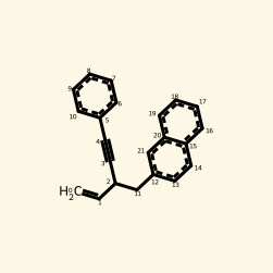 C=CC(C#Cc1ccccc1)Cc1ccc2ccccc2c1